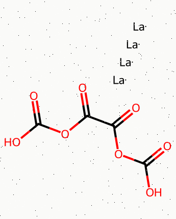 O=C(O)OC(=O)C(=O)OC(=O)O.[La].[La].[La].[La]